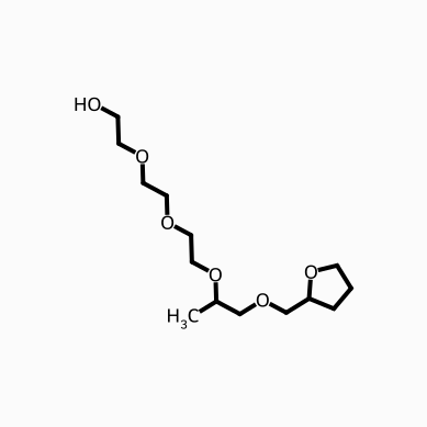 CC(COCC1CCCO1)OCCOCCOCCO